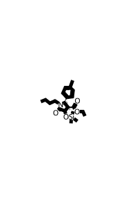 CCCCN1C(=O)C(O[Si](C)(C)C)[C@H](C(=O)OCC)[C@H]1c1ccc(C)cc1